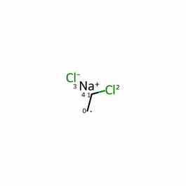 [CH2]CCl.[Cl-].[Na+]